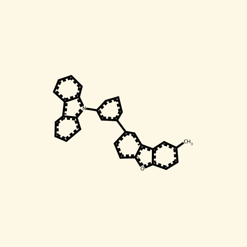 Cc1ccc2oc3ccc(-c4cccc(-n5c6ccccc6c6ccccc65)c4)cc3c2c1